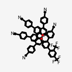 N#Cc1ccc(-c2ccc3c(c2)c2cc(-c4ccc(C#N)cc4)ccc2n3-c2ccc(-c3ccc(C(F)(F)F)cc3C(F)(F)F)cc2-c2ccc(C#N)cc2-n2c3ccc(-c4ccc(C#N)cc4)cc3c3cc(-c4ccc(C#N)cc4)ccc32)cc1